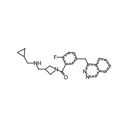 O=C(c1cc(Cc2nncc3ccccc23)ccc1F)N1CC(CNCC2CC2)C1